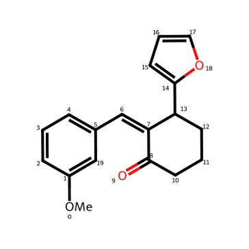 COc1cccc(C=C2C(=O)CCCC2c2ccco2)c1